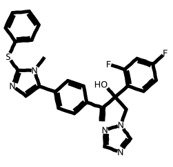 C=C(c1ccc(-c2cnc(Sc3ccccc3)n2C)cc1)C(O)(Cn1cncn1)c1ccc(F)cc1F